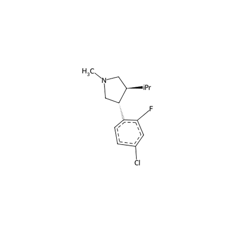 CC(C)[C@@H]1CN(C)C[C@H]1c1ccc(Cl)cc1F